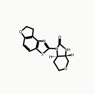 O=C1N[C@@H]2COCC[C@H]2N1c1nc2c3c(ccc2s1)OCC3